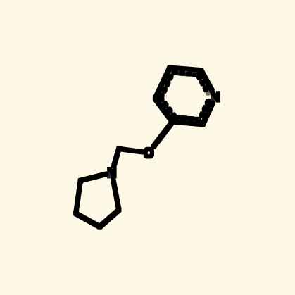 c1cncc(OCN2CCCC2)c1